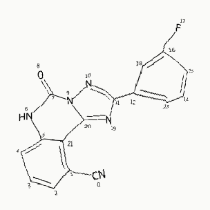 N#Cc1cccc2[nH]c(=O)n3nc(-c4cccc(F)c4)nc3c12